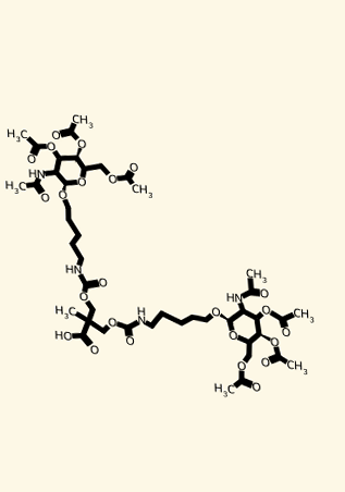 CC(=O)NC1C(OC(C)=O)[C@@H](OC(C)=O)C(COC(C)=O)O[C@H]1OCCCCCNC(=O)OCC(C)(COC(=O)NCCCCCO[C@@H]1OC(COC(C)=O)[C@H](OC(C)=O)C(OC(C)=O)C1NC(C)=O)C(=O)O